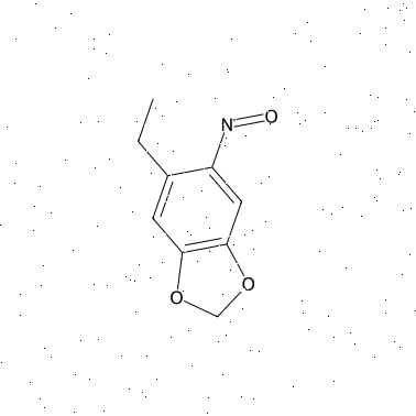 CCc1cc2c(cc1N=O)OCO2